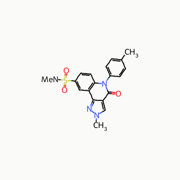 CNS(=O)(=O)c1ccc2c(c1)c1nn(C)cc1c(=O)n2-c1ccc(C)cc1